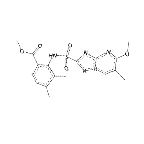 COC(=O)c1ccc(C)c(C)c1NS(=O)(=O)c1nc2nc(OC)c(C)cn2n1